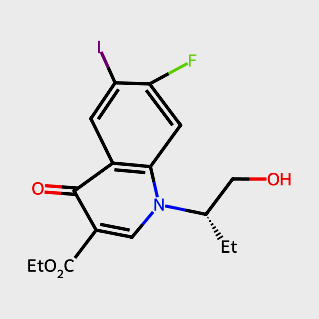 CCOC(=O)c1cn([C@@H](CC)CO)c2cc(F)c(I)cc2c1=O